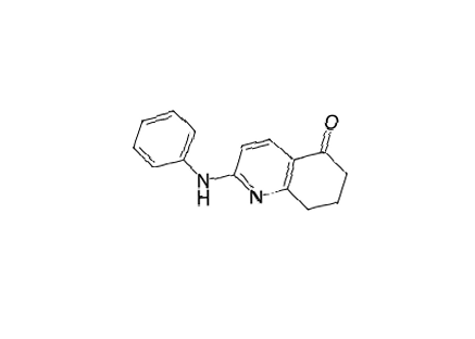 O=C1CCCc2nc(Nc3ccccc3)ccc21